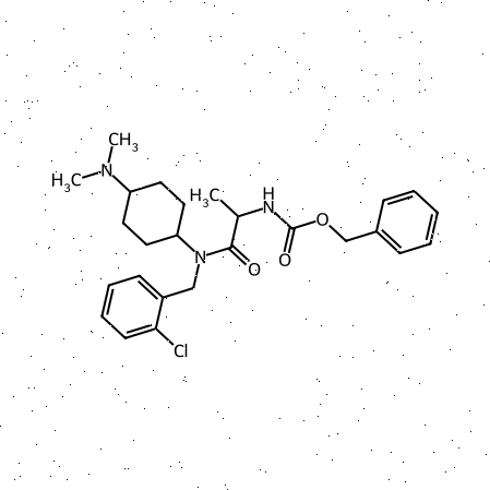 CC(NC(=O)OCc1ccccc1)C(=O)N(Cc1ccccc1Cl)C1CCC(N(C)C)CC1